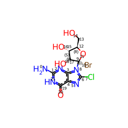 Nc1nc2c(nc(Cl)n2[C@]2(Br)O[C@H](CO)[C@@H](O)[C@H]2O)c(=O)[nH]1